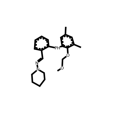 COCOc1c(C)cc(C)cc1Pc1ccccc1/C=N/N1CCCCC1